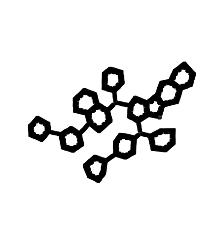 c1ccc(-c2ccc(N(c3ccccc3)c3cc(N(c4ccccc4)c4ccc(-c5cccc(-c6ccccc6)c5)c5ccccc45)cc4c3oc3cc5ccccc5cc34)cc2)cc1